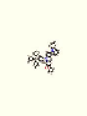 C1=CCCC([Si](c2ccccc2)(c2ccccc2)c2ccc(N(c3ccc4c(c3)oc3ccccc34)c3ccc4c(c3)c3cccc5c6ccccc6n4c53)cc2)=C1